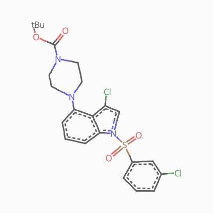 CC(C)(C)OC(=O)N1CCN(c2cccc3c2c(Cl)cn3S(=O)(=O)c2cccc(Cl)c2)CC1